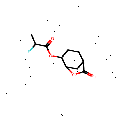 CC(F)C(=O)OC1CCC2CC1OC2=O